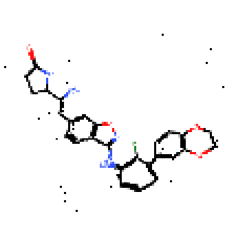 NC(=Cc1ccc2c(Nc3cccc(-c4ccc5c(c4)OCCO5)c3Cl)noc2c1)C1CCC(=O)N1